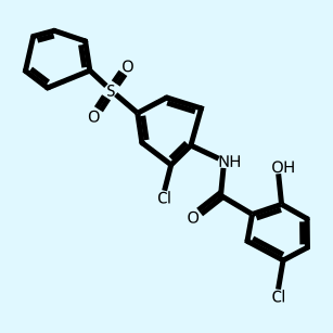 O=C(Nc1ccc(S(=O)(=O)c2ccccc2)cc1Cl)c1cc(Cl)ccc1O